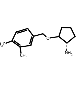 Cc1ccc(COC2CCC[C@@H]2N)cc1C